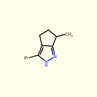 CC(C)c1[nH]nc2c1CCC2C